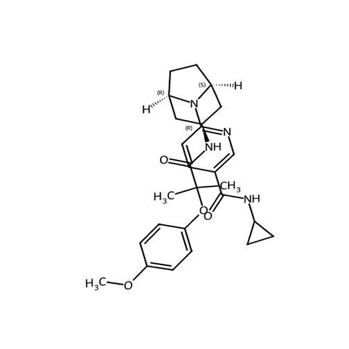 COc1ccc(OC(C)(C)C(=O)N[C@H]2C[C@H]3CC[C@@H](C2)N3c2ccc(C(=O)NC3CC3)cn2)cc1